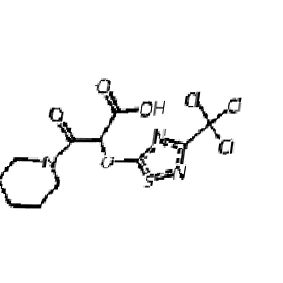 O=C(O)C(Oc1nc(C(Cl)(Cl)Cl)ns1)C(=O)N1CCCCC1